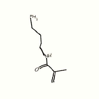 C=C(C)C(=O)NCCCP